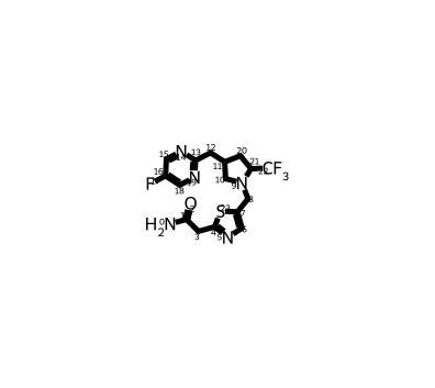 NC(=O)Cc1ncc(CN2CC(Cc3ncc(F)cn3)CC2C(F)(F)F)s1